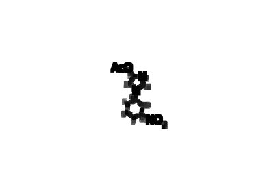 CC(=O)Oc1cn(-c2cccc([N+](=O)[O-])c2)cn1